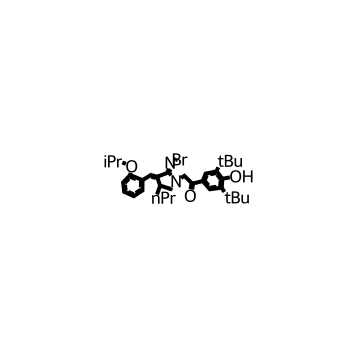 CCCC1CN(CC(=O)c2cc(C(C)(C)C)c(O)c(C(C)(C)C)c2)C(=N\Br)/C1=C/c1ccccc1OC(C)C